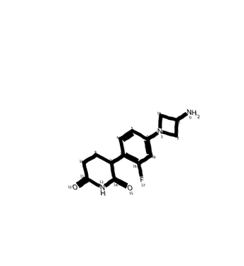 NC1CN(c2ccc(C3CCC(=O)NC3=O)c(F)c2)C1